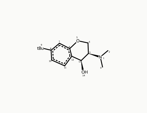 CN(C)[C@@H]1COc2cc(C(C)(C)C)ccc2[C@@H]1O